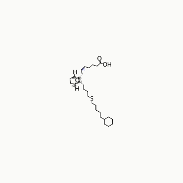 O=C(O)CCC/C=C\C[C@@H]1[C@H](CCCCSCC=CCCC2CCCCC2)[C@@H]2CC[C@H]1O2